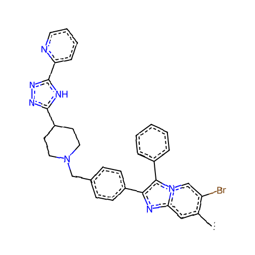 [C]c1cc2nc(-c3ccc(CN4CCC(c5nnc(-c6ccccn6)[nH]5)CC4)cc3)c(-c3ccccc3)n2cc1Br